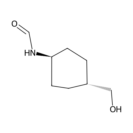 O=CN[C@H]1CC[C@H](CO)CC1